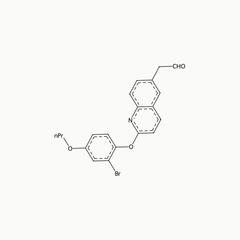 CCCOc1ccc(Oc2ccc3cc(CC=O)ccc3n2)c(Br)c1